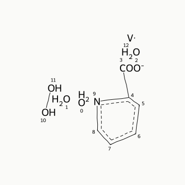 O.O.O.O=C([O-])c1ccccn1.OO.[V]